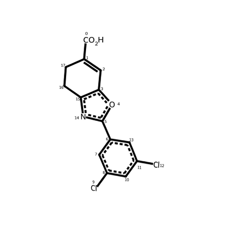 O=C(O)C1=Cc2oc(-c3cc(Cl)cc(Cl)c3)nc2CC1